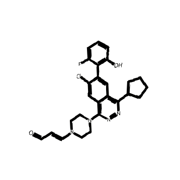 O=CC=CN1CCN(c2nnc(C3CCCC3)c3cc(-c4c(O)cccc4F)c(Cl)cc23)CC1